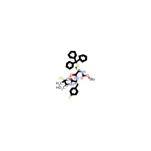 CC(C)(C)OC(=O)N[C@@H](CSC(c1ccccc1)(c1ccccc1)c1ccccc1)C(=O)N[C@H](Cc1ccc(F)cc1)C(=O)N[C@@H](C(=O)O)C(C)(C)S